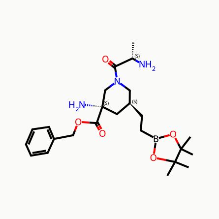 C[C@H](N)C(=O)N1C[C@@H](CCB2OC(C)(C)C(C)(C)O2)C[C@@](N)(C(=O)OCc2ccccc2)C1